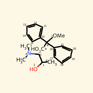 CC(O)CN(C)C.COC(C(=O)O)(c1ccccc1)c1ccccc1